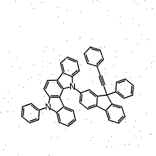 C(#CC1(c2ccccc2)c2ccccc2-c2ccc(-n3c4ccccc4c4ccc5c(c6ccccc6n5-c5ccccc5)c43)cc21)c1ccccc1